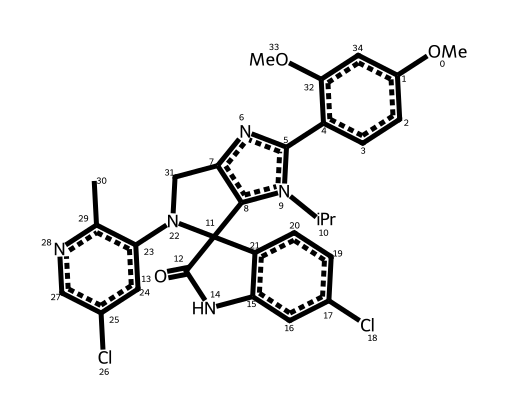 COc1ccc(-c2nc3c(n2C(C)C)C2(C(=O)Nc4cc(Cl)ccc42)N(c2cc(Cl)cnc2C)C3)c(OC)c1